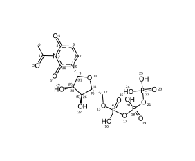 CC(=O)n1c(=O)ccn([C@@H]2O[C@H](COP(=O)(O)OP(=O)(O)OP(=O)(O)O)[C@@H](O)[C@H]2O)c1=O